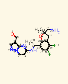 C[C@@H](Nc1ccn2ncc(C=O)c2n1)c1cc(F)c(F)c2c1OC(C)(CN)C2